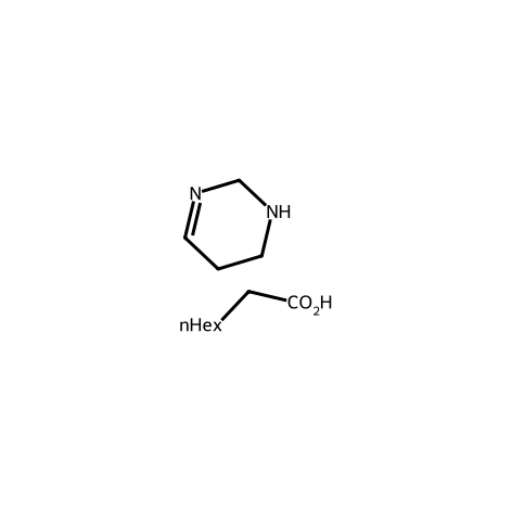 C1=NCNCC1.CCCCCCCC(=O)O